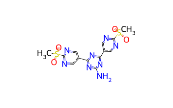 CS(=O)(=O)c1ncc(-c2nc(N)nc(-c3cnc(S(C)(=O)=O)nc3)n2)cn1